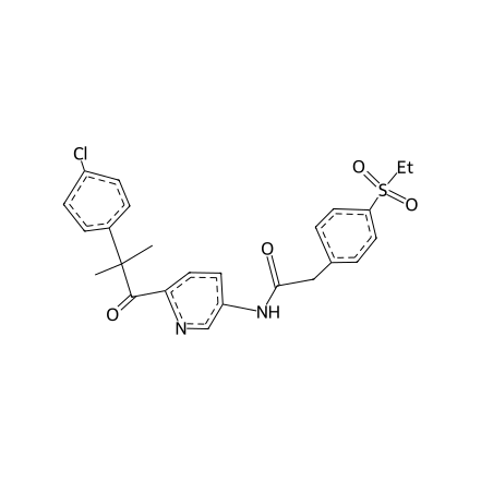 CCS(=O)(=O)c1ccc(CC(=O)Nc2ccc(C(=O)C(C)(C)c3ccc(Cl)cc3)nc2)cc1